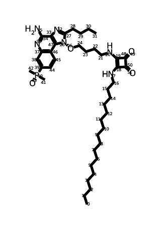 CCCCCCCCCCCCCCCCCNc1c(NCCCCOn2c(CCCC)nc3c(N)nc4cc(P(C)(C)=O)ccc4c32)c(=O)c1=O